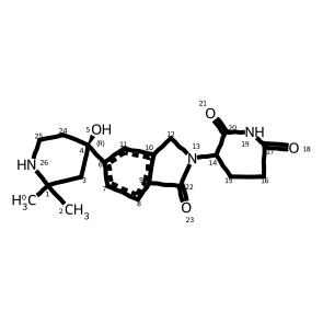 CC1(C)C[C@@](O)(c2ccc3c(c2)CN(C2CCC(=O)NC2=O)C3=O)CCN1